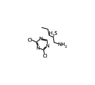 CCCCCN.Clc1ncnc(Cl)n1.S